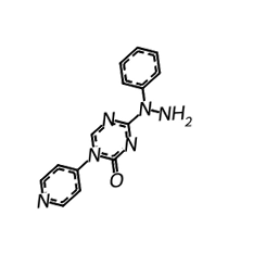 NN(c1ccccc1)c1ncn(-c2ccncc2)c(=O)n1